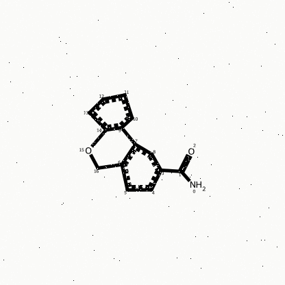 NC(=O)c1ccc2c(c1)-c1ccccc1OC2